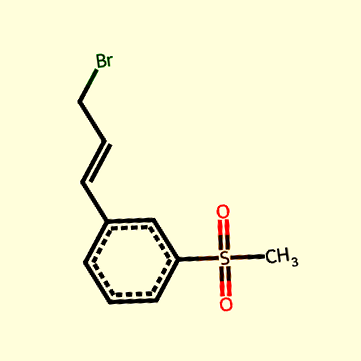 CS(=O)(=O)c1cccc(C=CCBr)c1